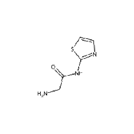 NCC(=O)Nc1nccs1